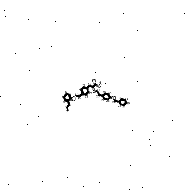 CCCc1ccccc1OCCc1ccc(CC(SCCc2ccc(OCc3ccccc3)cc2)C(=O)OC)cc1